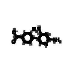 Nc1ncc(-c2ccc([N+](=O)[O-])cc2)c(N)n1